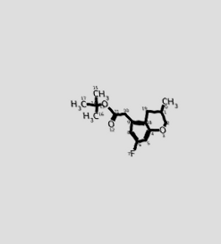 CC1COc2cc(F)cc(CC(=O)OC(C)(C)C)c2C1